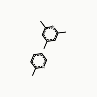 Cc1cc(C)nc(C)c1.Cc1ccccn1